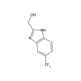 OCc1nc2cc(C(F)(F)F)ccc2[nH]1